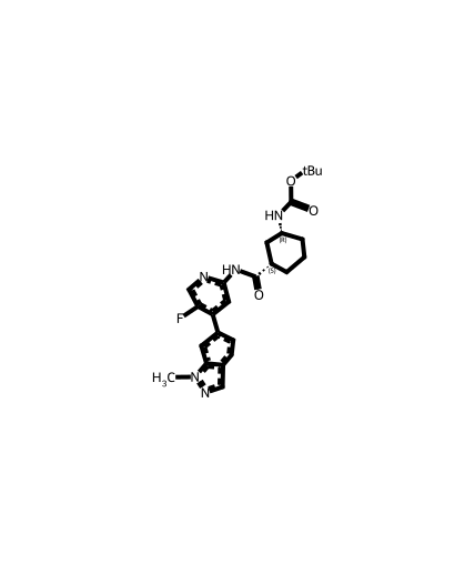 Cn1ncc2ccc(-c3cc(NC(=O)[C@H]4CCC[C@@H](NC(=O)OC(C)(C)C)C4)ncc3F)cc21